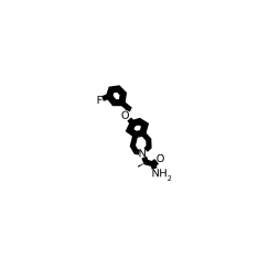 C[C@@H](C(N)=O)N1CCc2ccc(OCc3cccc(F)c3)cc2CC1